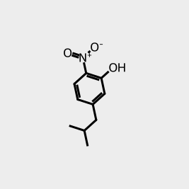 CC(C)Cc1ccc([N+](=O)[O-])c(O)c1